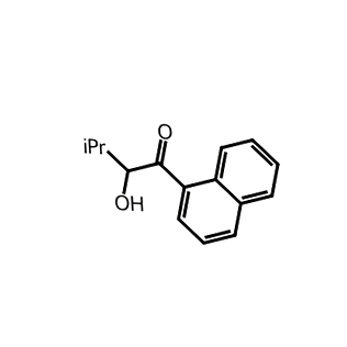 CC(C)C(O)C(=O)c1cccc2ccccc12